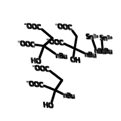 CCCCC(O)(CC(=O)[O-])C(=O)[O-].CCCCC(O)(CC(=O)[O-])C(=O)[O-].CCCCC(O)(CC(=O)[O-])C(=O)[O-].CCC[CH2][Sn+3].CCC[CH2][Sn+3]